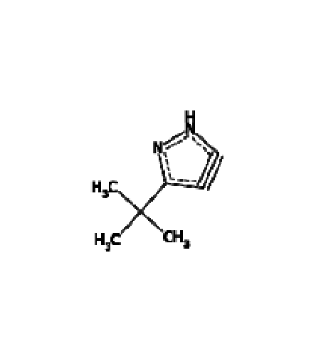 CC(C)(C)c1c#c[nH]n1